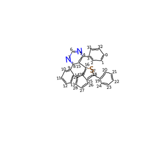 c1ccc(-c2ncnc(-c3ccccc3)c2-c2sc(-c3ccccc3)c3ccccc23)cc1